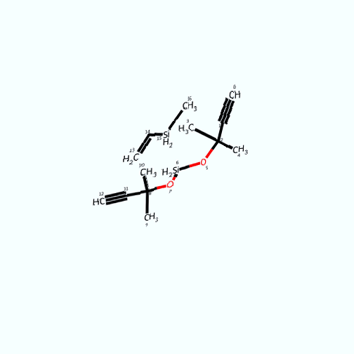 C#CC(C)(C)O[SiH2]OC(C)(C)C#C.C=C[SiH2]C